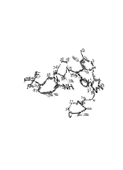 Cc1ccc(-c2cnn(CCN3CCOCC3)c2)c(C(O)N2CCC[C@@H](C)[C@H]2CNc2ccc(C(F)(F)F)cn2)c1